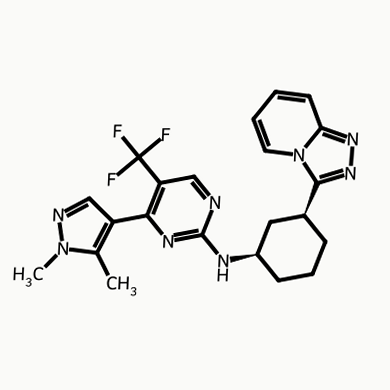 Cc1c(-c2nc(N[C@@H]3CCC[C@H](c4nnc5ccccn45)C3)ncc2C(F)(F)F)cnn1C